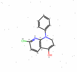 OC1=CCN(c2ccccc2)c2nc(Cl)ccc21